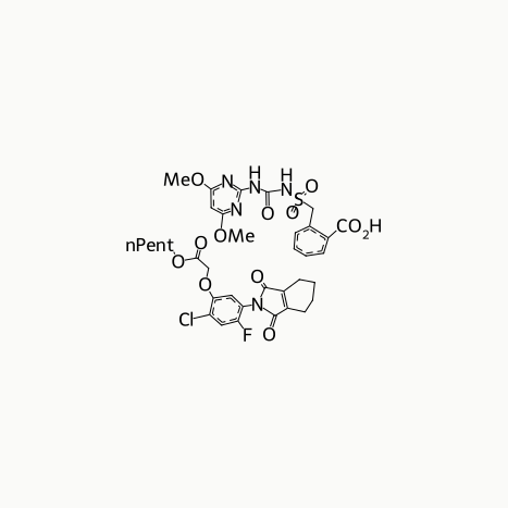 CCCCCOC(=O)COc1cc(N2C(=O)C3=C(CCCC3)C2=O)c(F)cc1Cl.COc1cc(OC)nc(NC(=O)NS(=O)(=O)Cc2ccccc2C(=O)O)n1